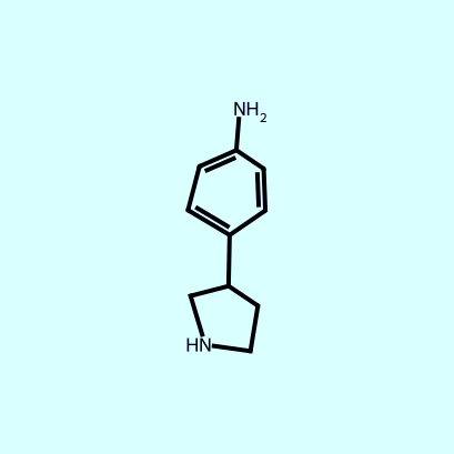 Nc1ccc(C2CCNC2)cc1